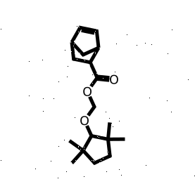 CC1(C)CCC(C)(C)C1OCOC(=O)C1CC2C=CC1C2